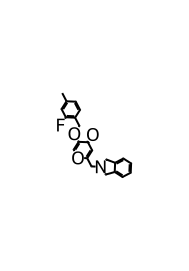 Cc1ccc(COc2coc(CN3Cc4ccccc4C3)cc2=O)c(F)c1